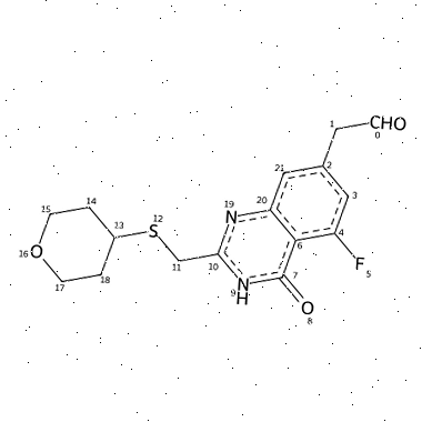 O=CCc1cc(F)c2c(=O)[nH]c(CSC3CCOCC3)nc2c1